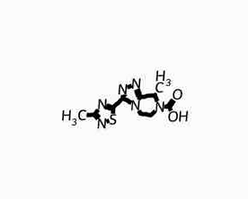 Cc1nsc(-c2nnc3n2CCN(C(=O)O)[C@@H]3C)n1